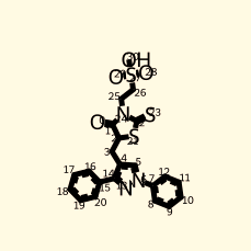 O=C1C(Cc2cn(-c3ccccc3)nc2-c2ccccc2)SC(=S)N1CCS(=O)(=O)O